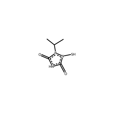 CC(C)n1c(=O)[nH]c(=O)n1S